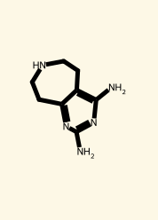 Nc1nc(N)c2c(n1)CCNCC2